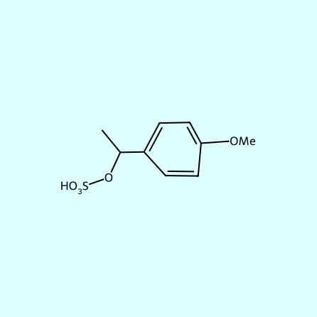 COc1ccc(C(C)OS(=O)(=O)O)cc1